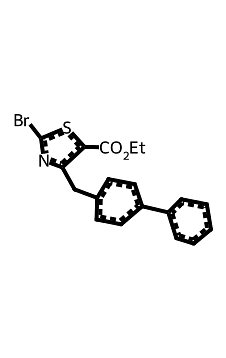 CCOC(=O)c1sc(Br)nc1Cc1ccc(-c2ccccc2)cc1